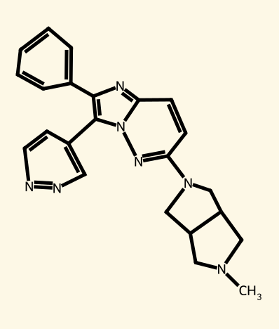 CN1CC2CN(c3ccc4nc(-c5ccccc5)c(-c5ccnnc5)n4n3)CC2C1